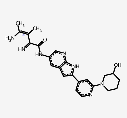 C/C(N)=C(\C)C(=N)C(=O)Nc1cnc2[nH]c(-c3ccnc(N4CCCC(O)C4)c3)cc2c1